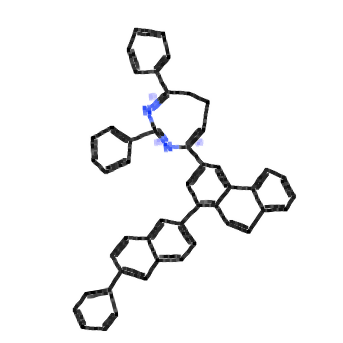 C1=C(c2cc(-c3ccc4cc(-c5ccccc5)ccc4c3)c3ccc4ccccc4c3c2)/N=C(c2ccccc2)\N=C(\c2ccccc2)CC\1